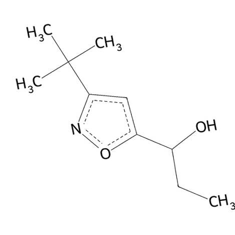 CCC(O)c1cc(C(C)(C)C)no1